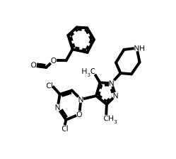 Cc1nn(C2CCNCC2)c(C)c1N1C=C(Cl)N=C(Cl)O1.O=COCc1ccccc1